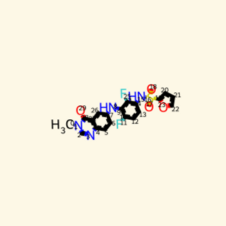 Cn1cnc2ccc(Nc3c(F)ccc(NS(=O)(=O)c4ccco4)c3F)cc2c1=O